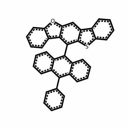 c1ccc(-c2c3ccccc3c(-c3c4sc5ccccc5c4cc4oc5ccccc5c34)c3ccccc23)cc1